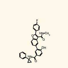 CNC(=O)c1c(-c2ccc(F)cc2)oc2ccc(-c3cc(C(=O)NC4(c5ccccc5)CC4)ccc3O)cc12